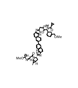 CCCN(Cc1nc2ccc3cc(-c4ccc5c(ccc6nc([C@@H]7C[C@H]8[C@@H](C)[C@H]8N7C(=O)C(/C=N\C(=O)OC)[C@@H](C)CC)[nH]c65)c4)ccc3c2[nH]1)C(=O)[C@H](NC(=O)C1CC1)C1C=CC=C(COC)C1